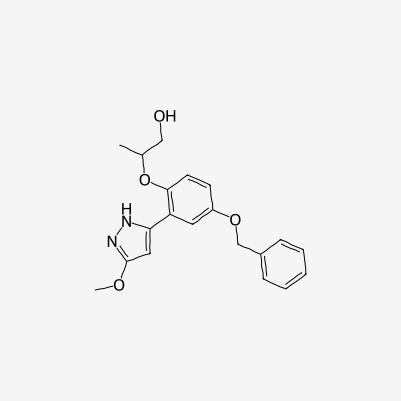 COc1cc(-c2cc(OCc3ccccc3)ccc2OC(C)CO)[nH]n1